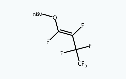 CCCCOC(F)=C(F)C(F)(F)C(F)(F)F